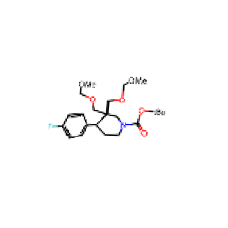 COCOCC1(COCOC)CN(C(=O)OC(C)(C)C)CCC1c1ccc(F)cc1